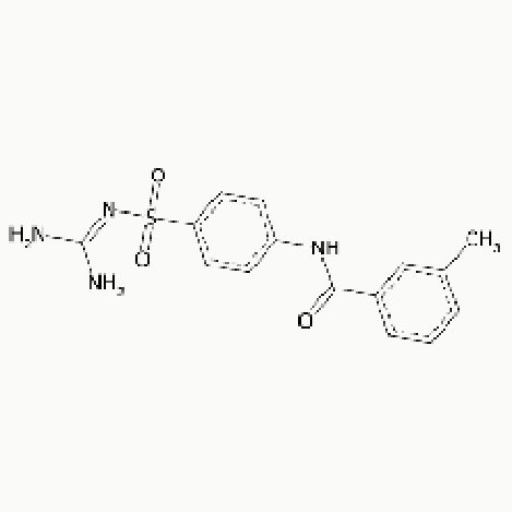 Cc1cccc(C(=O)Nc2ccc(S(=O)(=O)N=C(N)N)cc2)c1